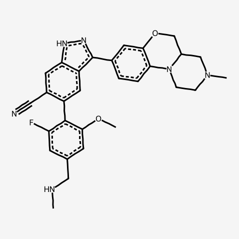 CNCc1cc(F)c(-c2cc3c(-c4ccc5c(c4)OCC4CN(C)CCN54)n[nH]c3cc2C#N)c(OC)c1